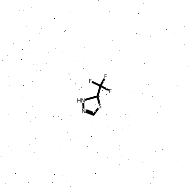 FC(F)(F)[C]1NN=CS1